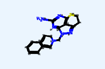 Nc1nc2c3c(nn(CN4C=c5ccccc5=CC4)c3n1)CCS2